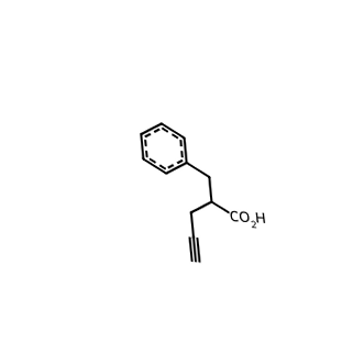 C#CCC(Cc1ccccc1)C(=O)O